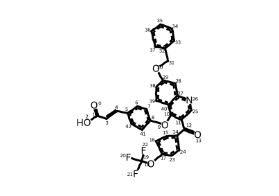 O=C(O)/C=C/c1ccc(Oc2c(C(=O)c3ccc(OC(F)(F)F)cc3)cnc3cc(OCc4ccccc4)ccc23)cc1